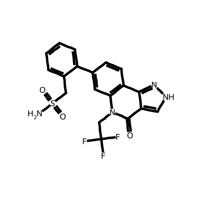 NS(=O)(=O)Cc1ccccc1-c1ccc2c3n[nH]cc3c(=O)n(CC(F)(F)F)c2c1